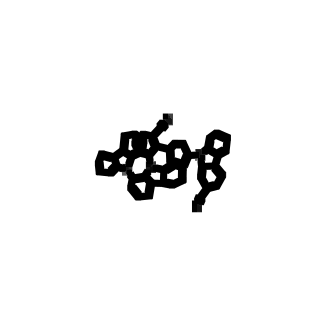 N#Cc1ccc2c3ccccc3n(-c3ccc(-c4c(C#N)cccc4-n4c5ccccc5c5cccc(-n6c7ccccc7c7ccccc76)c54)cc3)c2c1